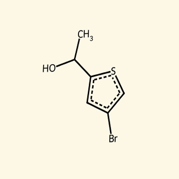 CC(O)c1cc(Br)cs1